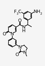 CC(NC(=O)c1ccc(=O)n(-c2cccc(N3CCN(C)C3=O)c2)c1)c1cc(N)cc(C(F)(F)F)c1